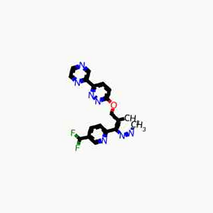 C/N=N\C(=C(/C)COc1ccc(-c2cnccn2)nn1)c1ccc(C(F)F)cn1